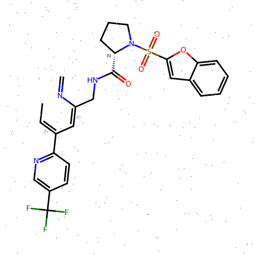 C=N/C(=C\C(=C/C)c1ccc(C(F)(F)F)cn1)CNC(=O)[C@@H]1CCCN1S(=O)(=O)c1cc2ccccc2o1